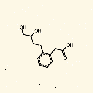 O=C(O)Cc1ccccc1SCC(O)CO